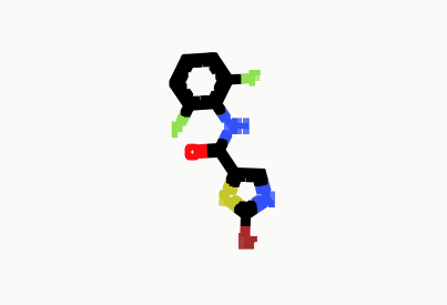 O=C(Nc1c(F)cccc1F)c1cnc(Br)s1